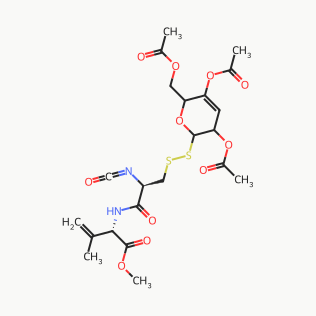 C=C(C)[C@H](NC(=O)[C@H](CSSC1OC(COC(C)=O)C(OC(C)=O)=CC1OC(C)=O)N=C=O)C(=O)OC